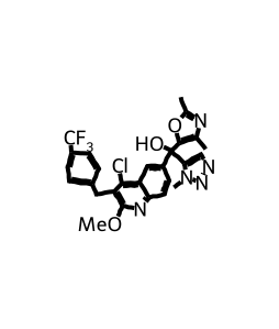 COc1nc2ccc(C(O)(c3oc(C)nc3C)c3cnnn3C)cc2c(Cl)c1Cc1ccc(C(F)(F)F)cc1